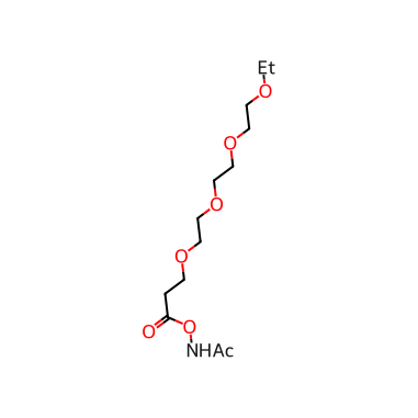 CCOCCOCCOCCOCCC(=O)ONC(C)=O